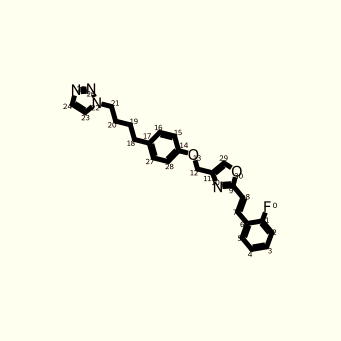 Fc1ccccc1C=Cc1nc(COc2ccc(CCCCn3ccnn3)cc2)co1